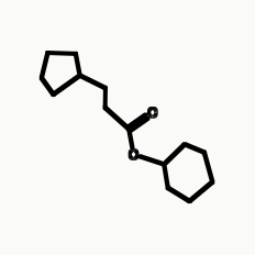 O=C(CCC1CCCC1)OC1CCCCC1